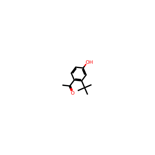 CC(=O)c1ccc(O)cc1C(C)(C)C